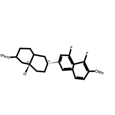 CCCCCC1CCC2C[C@H](c3cc(F)c4c(F)c(OC)ccc4c3)CC[C@@H]2C1